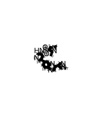 Cc1nn(C)cc1S(=O)(=O)Nc1cncc(-c2ccc3ncc(-c4cnn(C)c4)nc3c2)c1